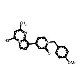 COc1ccc(Cn2ccc(-c3cnn4c(S)cc(C)nc34)cc2=O)cc1